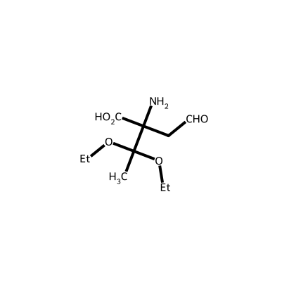 CCOC(C)(OCC)C(N)(CC=O)C(=O)O